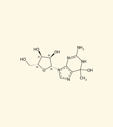 CC1(O)NC(N)=Nc2c1ncn2[C@@H]1O[C@H](CO)[C@@H](O)[C@H]1O